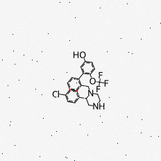 Oc1ccc(OC(F)(F)F)c(-c2ccccc2CN2CCNCC2c2ccc(Cl)cc2)c1